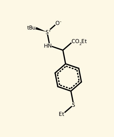 CCOC(=O)C(N[S@+]([O-])C(C)(C)C)c1ccc(SCC)cc1